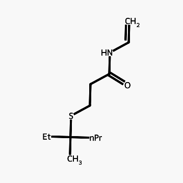 C=CNC(=O)CCSC(C)(CC)CCC